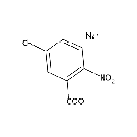 O=C([O-])c1cc(Cl)ccc1[N+](=O)[O-].[Na+]